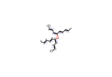 C/C=C/C=C/C(=C\C=C\CC)OC(/C=C/C=C/C)=C/C=C/CC